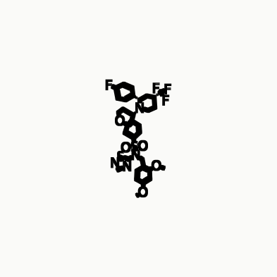 COc1ccc(CN(c2ncns2)S(=O)(=O)c2ccc3c(c2)OCC[C@@H]3N2CC[C@@H](C(F)(F)F)C[C@H]2c2ccc(F)cc2)c(OC)c1